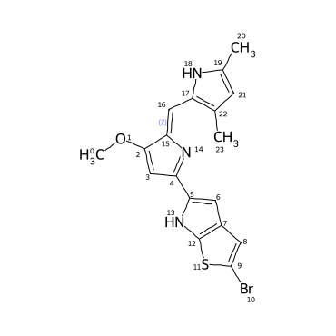 COC1=CC(c2cc3cc(Br)sc3[nH]2)=N/C1=C\c1[nH]c(C)cc1C